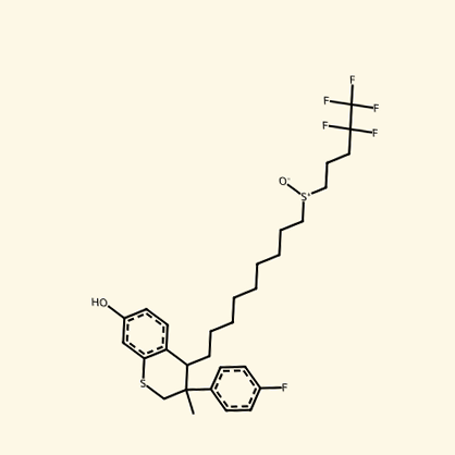 CC1(c2ccc(F)cc2)CSc2cc(O)ccc2C1CCCCCCCCC[S+]([O-])CCCC(F)(F)C(F)(F)F